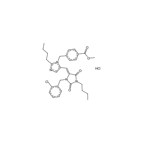 CCCCc1ncc(/C=C2/C(=O)N(CCCC)C(=O)N2Cc2ccccc2Cl)n1Cc1ccc(C(=O)OC)cc1.Cl